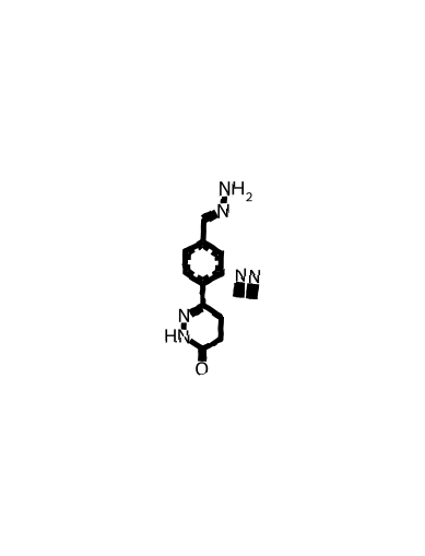 C#N.C#N.NN=Cc1ccc(C2=NNC(=O)CC2)cc1